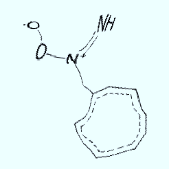 N=[N+](O[O])c1ccccc1